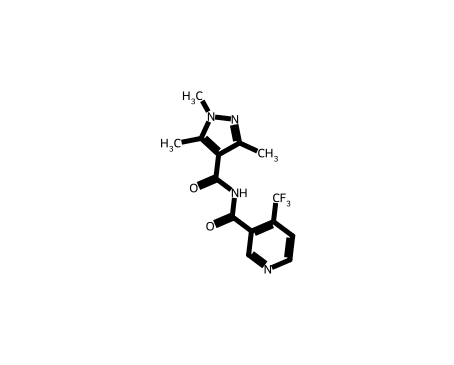 Cc1nn(C)c(C)c1C(=O)NC(=O)c1cnccc1C(F)(F)F